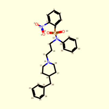 O=[N+]([O-])c1ccccc1S(=O)(=O)N(CCCN1CCC(Cc2ccccc2)CC1)c1ccccc1